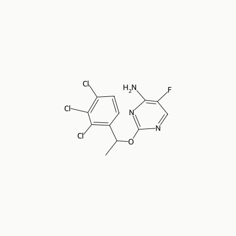 CC(Oc1ncc(F)c(N)n1)c1ccc(Cl)c(Cl)c1Cl